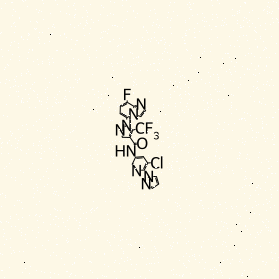 O=C(Nc1cnc(-n2cccn2)c(Cl)c1)c1cnn(-c2ccc(F)c3nccn23)c1C(F)(F)F